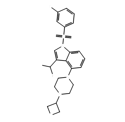 O=S(=O)(c1cccc(F)c1)n1cc(C(F)F)c2c(N3CCN(C4COC4)CC3)cccc21